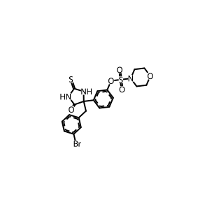 O=C1NC(=S)NC1(Cc1cccc(Br)c1)c1cccc(OS(=O)(=O)N2CCOCC2)c1